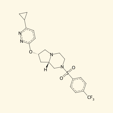 O=S(=O)(c1ccc(C(F)(F)F)cc1)N1CCN2C[C@@H](Oc3ccc(C4CC4)nn3)C[C@H]2C1